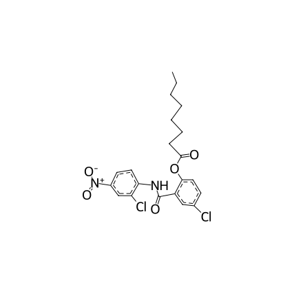 CCCCCCCC(=O)Oc1ccc(Cl)cc1C(=O)Nc1ccc([N+](=O)[O-])cc1Cl